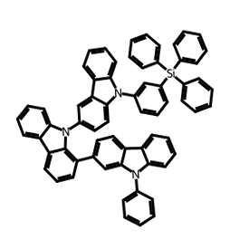 c1ccc(-n2c3ccccc3c3ccc(-c4cccc5c6ccccc6n(-c6ccc7c(c6)c6ccccc6n7-c6cccc([Si](c7ccccc7)(c7ccccc7)c7ccccc7)c6)c45)cc32)cc1